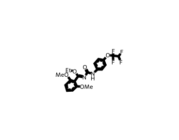 CCOC(=NC(=O)Nc1ccc(OC(F)(F)C(F)F)cc1)c1c(OC)cccc1OC